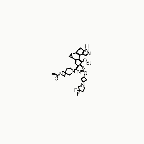 C=CC(=O)N1CC2(CCN(c3nc(O[C@H]4C[C@@H](N5CCC(F)(F)C5)C4)nc4c(OCC)c(-c5c(C)ccc6[nH]ncc56)c(C5CC5)cc34)CC2)C1